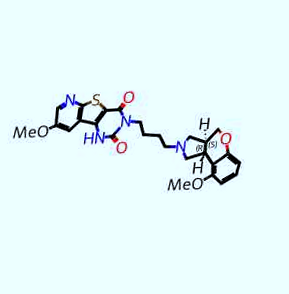 COc1cnc2sc3c(=O)n(CCCCN4C[C@H]5COc6cccc(OC)c6[C@@H]5C4)c(=O)[nH]c3c2c1